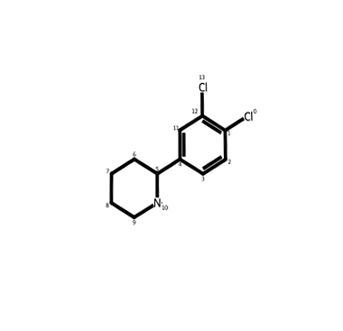 Clc1ccc(C2CCCC[N]2)cc1Cl